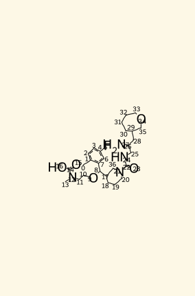 Cc1ccc(F)cc1C(OCCN(C)C(=O)O)C1CCCN(C(=O)NCC(N)CC2CCCCOC2)C1